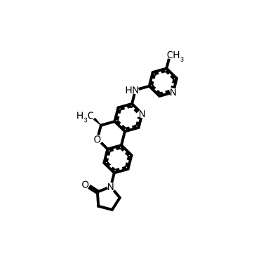 Cc1cncc(Nc2cc3c(cn2)-c2ccc(N4CCCC4=O)cc2O[C@H]3C)c1